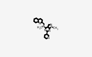 CN(Cc1ccc2ccccc2n1)c1nc(-c2cccnc2)nc2c1cnn2C